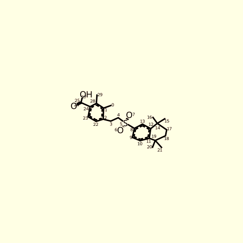 Cc1c(CCS(=O)(=O)c2ccc3c(c2)C(C)(C)CCC3(C)C)ccc(C(=O)O)c1C